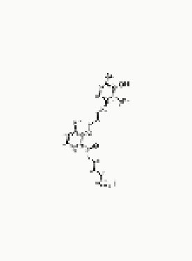 CCCc1c(OCCCOc2c(F)cccc2C(=O)CCCCC(=O)O)ccc(C(C)=O)c1O